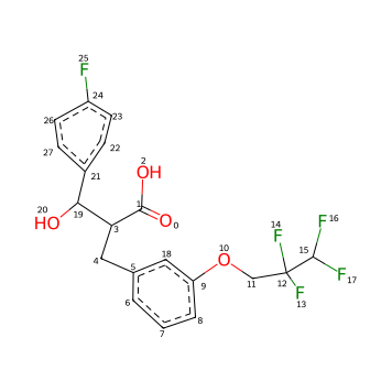 O=C(O)C(Cc1cccc(OCC(F)(F)C(F)F)c1)C(O)c1ccc(F)cc1